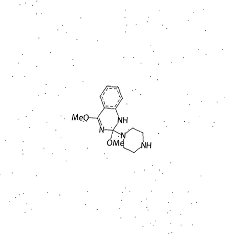 COC1=NC(OC)(N2CCNCC2)Nc2ccccc21